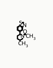 CC(=O)N1CC(C)CCC1c1ccc2scnc2c1